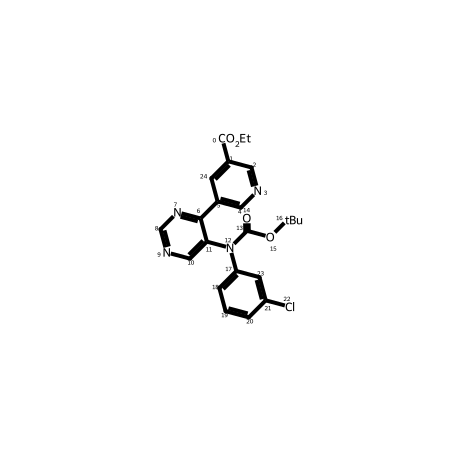 CCOC(=O)c1cncc(-c2ncncc2N(C(=O)OC(C)(C)C)c2cccc(Cl)c2)c1